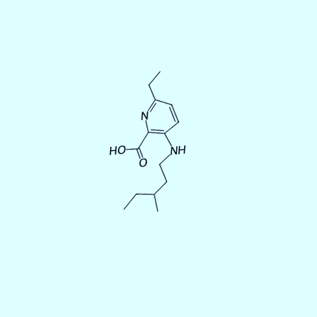 CCc1ccc(NCCC(C)CC)c(C(=O)O)n1